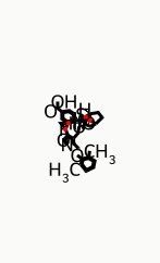 Cc1cccc(C)c1OCc1noc(C2CC2)c1CO[C@@H]1CC2CC[C@@H](C1)[C@]2(O)c1nc2c(F)cc(C(=O)O)cc2s1